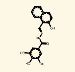 O=C(NN=Cc1c(O)ccc2ccccc12)c1cc(O)c(O)c(O)c1